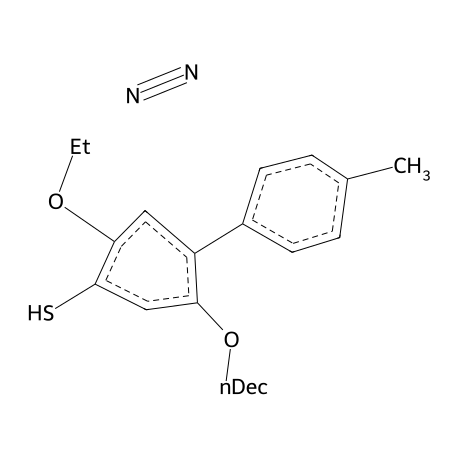 CCCCCCCCCCOc1cc(S)c(OCC)cc1-c1ccc(C)cc1.N#N